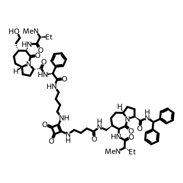 CC[C@H](NC)C(=O)NC1C(=O)N2[C@@H](CC[C@@H]1CNC(=O)CCCNc1c(NCCCCNC(=O)[C@@H](NC(=O)[C@@H]3CC[C@@H]4CC[C@H](CCO)[C@H](NC(=O)[C@H](CC)NC)C(=O)N43)c3ccccc3)c(=O)c1=O)CC[C@H]2C(=O)NC(c1ccccc1)c1ccccc1